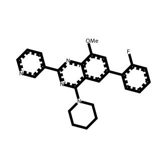 COc1cc(-c2ccccc2F)cc2c(N3CCCCC3)nc(-c3cccnc3)nc12